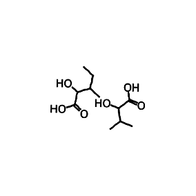 CC(C)C(O)C(=O)O.CCC(C)C(O)C(=O)O